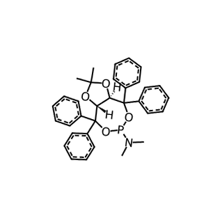 CN(C)P1OC(c2ccccc2)(c2ccccc2)[C@@H]2OC(C)(C)O[C@H]2C(c2ccccc2)(c2ccccc2)O1